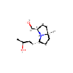 CC(O)CC[C@H]1CC[C@@H]2CC[C@H](CO)N21